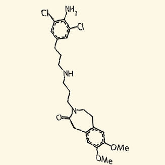 COc1cc2c(cc1OC)CC(=O)N(CCCNCCCc1cc(Cl)c(N)c(Cl)c1)CC2